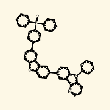 O=P(c1ccccc1)(c1ccccc1)c1ccc(-c2ccc3oc4ccc(-c5ccc6c(c5)c5ncccc5n6-c5ccccc5)cc4c3c2)cc1